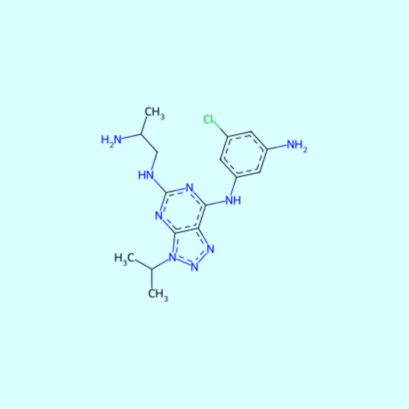 CC(N)CNc1nc(Nc2cc(N)cc(Cl)c2)c2nnn(C(C)C)c2n1